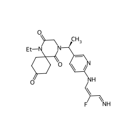 CCN1C(=O)CN([C@@H](C)c2ccc(N/C=C(/F)C=N)nc2)C(=O)C12CCC(=O)CC2